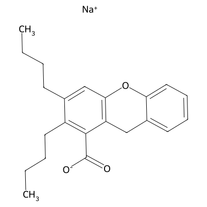 CCCCc1cc2c(c(C(=O)[O-])c1CCCC)Cc1ccccc1O2.[Na+]